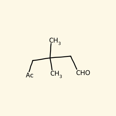 CC(=O)CC(C)(C)CC=O